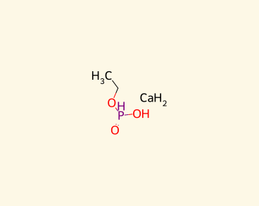 CCO[PH](=O)O.[CaH2]